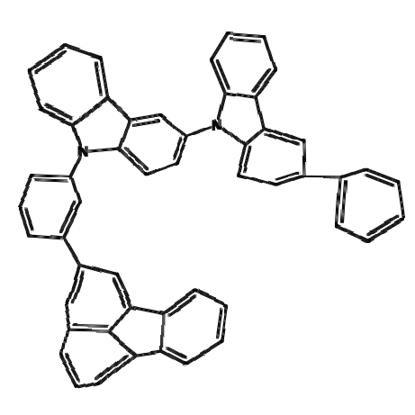 c1ccc(-c2ccc3c(c2)c2ccccc2n3-c2ccc3c(c2)c2ccccc2n3-c2cccc(-c3cc4c5c(cccc5c3)-c3ccccc3-4)c2)cc1